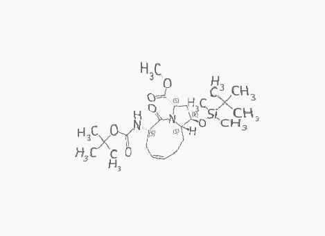 COC(=O)[C@@H]1C[C@@H](O[Si](C)(C)C(C)(C)C)[C@@H]2CCC=CC[C@H](NC(=O)OC(C)(C)C)C(=O)N12